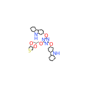 c1ccc2c(c1)[nH]c1cc(Oc3nc(OCC4COc5cscc5O4)nc(Oc4ccc5c(c4)[nH]c4ccccc45)n3)ccc12